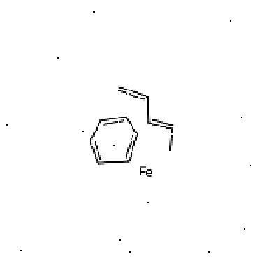 C=CC=CC.[Fe].c1ccccc1